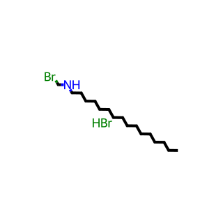 Br.CCCCCCCCCCCCCCCCNCBr